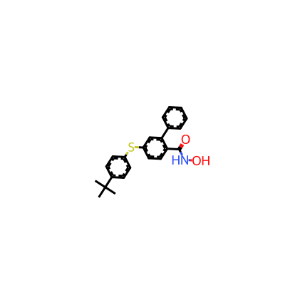 CC(C)(C)c1ccc(Sc2ccc(C(=O)NO)c(-c3ccccc3)c2)cc1